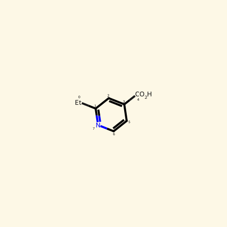 CCc1cc(C(=O)O)ccn1